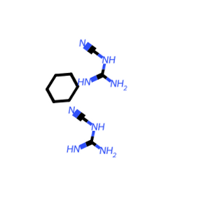 C1CCCCC1.N#CNC(=N)N.N#CNC(=N)N